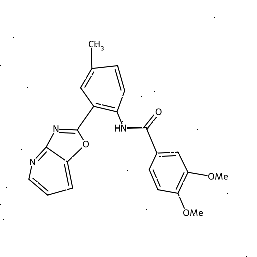 COc1ccc(C(=O)Nc2ccc(C)cc2-c2nc3ncccc3o2)cc1OC